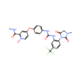 CNC(=O)c1cc(Oc2ccc(NC(=O)Nc3cc(C(F)(F)F)ccc3N3C(=O)CN(C)C3=O)cc2)cc[n+]1[O-]